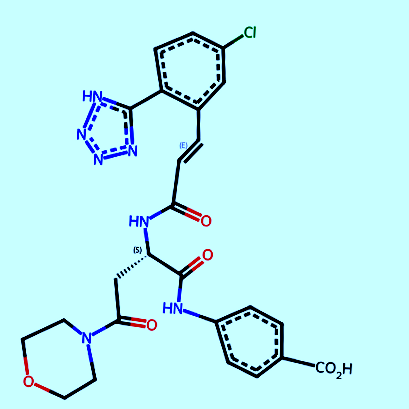 O=C(/C=C/c1cc(Cl)ccc1-c1nnn[nH]1)N[C@@H](CC(=O)N1CCOCC1)C(=O)Nc1ccc(C(=O)O)cc1